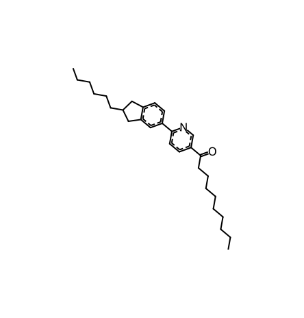 CCCCCCCCCC(=O)c1ccc(-c2ccc3c(c2)CC(CCCCCC)C3)nc1